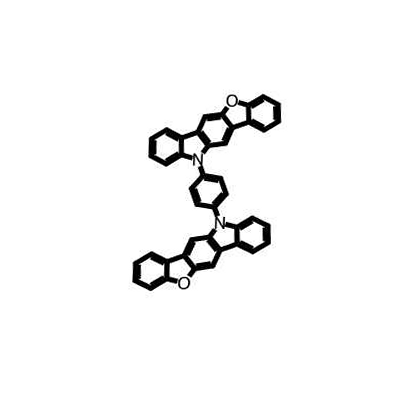 c1ccc2c(c1)oc1cc3c4ccccc4n(-c4ccc(-n5c6ccccc6c6cc7oc8ccccc8c7cc65)cc4)c3cc12